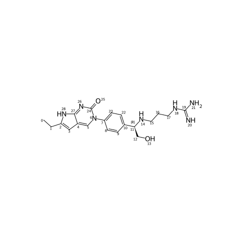 CCc1cc2cn(-c3ccc([C@H](CO)NCCCNC(=N)N)cc3)c(=O)nc2[nH]1